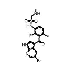 CNCS(=O)(=O)Nc1ccc(F)c(C(=O)c2c[nH]c3ncc(Br)cc23)c1F